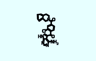 Nc1ncnc2[nH]cc(C(=O)c3ccc(C(=O)N4CCc5ccccc5C4)cc3Cl)c12